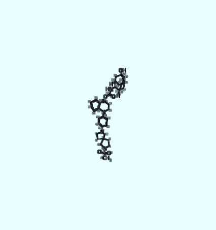 CS(=O)(=O)N1CCC2(CCN(c3ccc(N4CCN(OC(=O)NC5[C@@H]6CC7C[C@H]5CC(O)(C7)C6)c5ccccc54)cc3)C2)C1